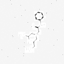 CCCCN(CC(=O)Nc1ccccc1)CC(C)C